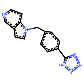 c1cc2c(ccn2Cc2ccc(-c3nnn[nH]3)cc2)cn1